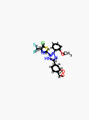 COc1ccccc1N1N=C(c2ccc3c(c2)OOC3)NN1c1nc(C(F)F)c(Cl)s1